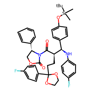 CC(C)(C)[Si](C)(C)Oc1ccc([C@@H](Nc2ccc(F)cc2)[C@@H](CCC2(c3ccc(F)cc3)OCCO2)C(=O)N2C(=O)OC[C@@H]2c2ccccc2)cc1